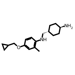 Cc1cc(OCC2CC2)ccc1NC[C@H]1CC[C@H](N)CC1